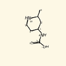 CC1CC(NC(=O)O)CCN1